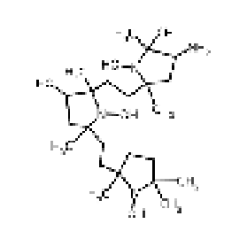 CC1(C)CCC(C)(CCC2(C)CC(O)C(C)(CCC3(C)CC(N)C(C)(C)N3O)N2O)N1O